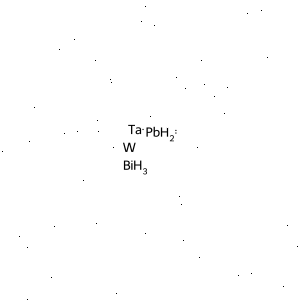 [BiH3].[PbH2].[Ta].[W]